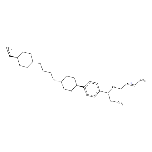 C=C[C@H]1CC[C@H](CCCC[C@H]2CC[C@H](c3ccc(C(CC)OC/C=C/C)cc3)CC2)CC1